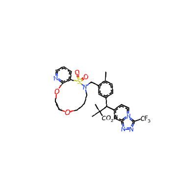 Cc1ccc(C(c2ccn3c(C(F)(F)F)nnc3c2)C(C)(C)C(=O)O)cc1CN1CCCOCCOc2ncccc2S1(=O)=O